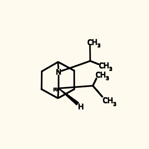 CC(C)[C@@H]1C2CCC(CC2)N1C(C)C